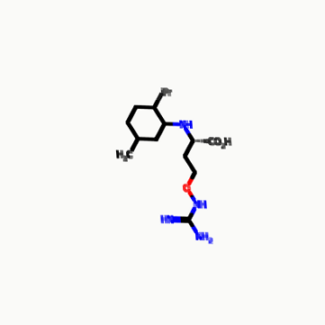 CC1CCC(C(C)C)C(N[C@@H](CCONC(=N)N)C(=O)O)C1